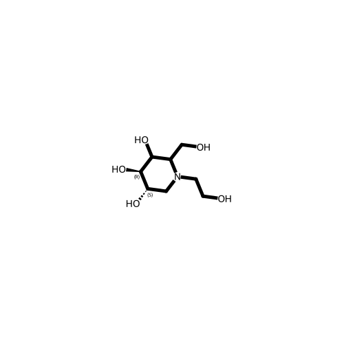 OCCN1C[C@H](O)[C@@H](O)C(O)C1CO